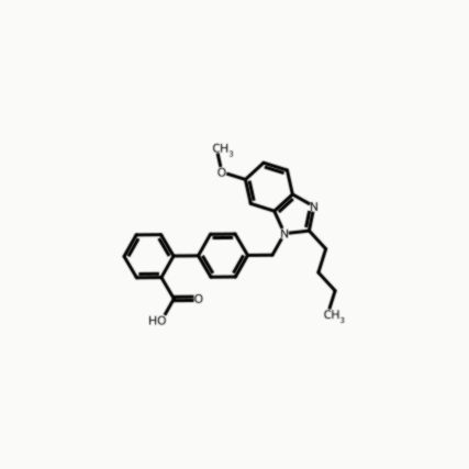 CCCCc1nc2ccc(OC)cc2n1Cc1ccc(-c2ccccc2C(=O)O)cc1